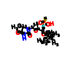 Cc1cn([C@H]2C[C@H](O[P@@](O)(F)=S)[C@@H](CO[Si](C)(C)C(C)(C)C)O2)c(=O)[nH]c1=O